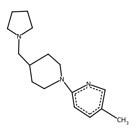 Cc1ccc(N2CCC(CN3CCCC3)CC2)nc1